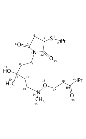 CC(C)SC1CC(=O)N(CCC(C)(O)CCN(C)OCCC(=O)C(C)C)C1=O